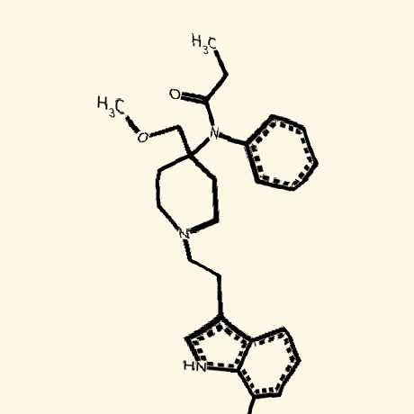 CCC(=O)N(c1ccccc1)C1(COC)CCN(CCc2c[nH]c3c(F)cccc23)CC1